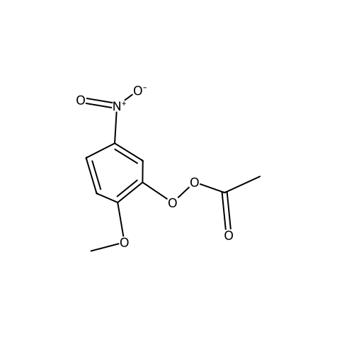 COc1ccc([N+](=O)[O-])cc1OOC(C)=O